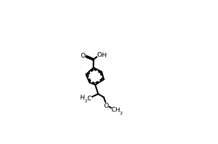 COCC(C)c1ccc(C(=O)O)cc1